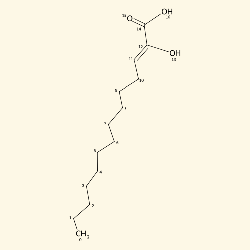 CCCCCCCCCCCC=C(O)C(=O)O